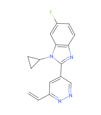 C=Cc1cc(-c2nc3ccc(F)cc3n2C2CC2)cnn1